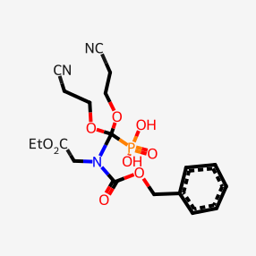 CCOC(=O)CN(C(=O)OCc1ccccc1)C(OCCC#N)(OCCC#N)P(=O)(O)O